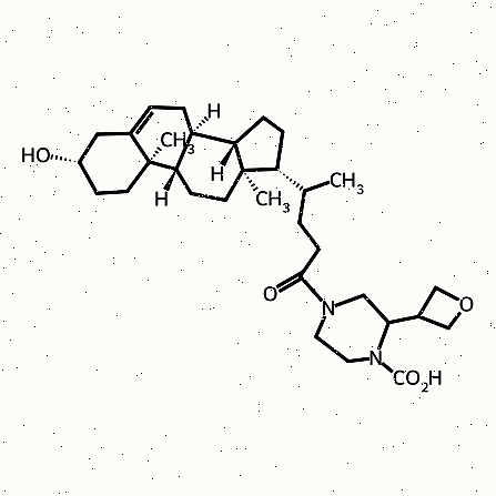 CC(CCC(=O)N1CCN(C(=O)O)C(C2COC2)C1)[C@H]1CC[C@H]2[C@@H]3CC=C4C[C@@H](O)CC[C@]4(C)[C@H]3CC[C@]12C